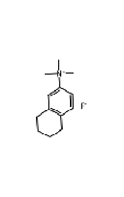 C[N+](C)(C)c1ccc2c(c1)CCCC2.[F-]